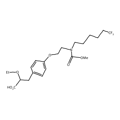 CCOC(Cc1ccc(OCCN(CCCCCC(F)(F)F)C(=O)OC)cc1)C(=O)O